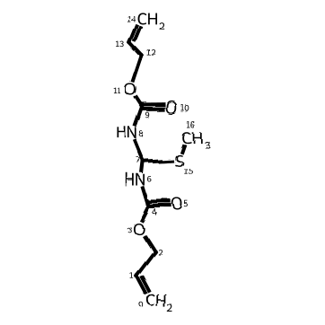 C=CCOC(=O)NC(NC(=O)OCC=C)SC